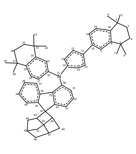 CC1(C)CCC(C)(C)c2cc(-c3ccc(N(c4ccc5c(c4)C(C)(C)CCC5(C)C)c4cccc5c4-c4ccccc4C54C5CC6CC7CC4C75C6)cc3)ccc21